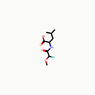 COC(F)C(=O)NC(CC(C)C)C(=O)O